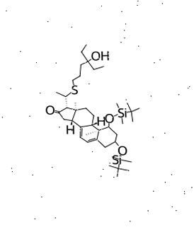 CCC(O)(CC)CCCSC(C)[C@H]1C(=O)C[C@H]2C3=CC=C4CC(O[Si](C)(C)C(C)(C)C)CC(O[Si](C)(C)C(C)(C)C)[C@]4(C)[C@H]3CC[C@]12C